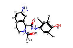 Cc1cc(NC(=O)C2c3cc(N)ccc3CCN2C(=O)C(C)(C)C)c(C)c(C)c1O